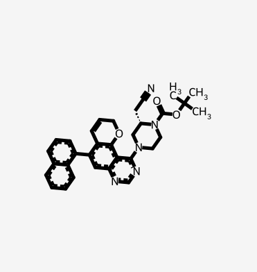 CC(C)(C)OC(=O)N1CCN(c2ncnc3cc(-c4cccc5ccccc45)c4c(c23)OCC=C4)C[C@@H]1CC#N